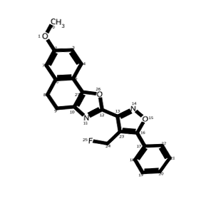 COc1ccc2c(c1)CCc1nc(-c3noc(-c4ccccc4)c3CF)oc1-2